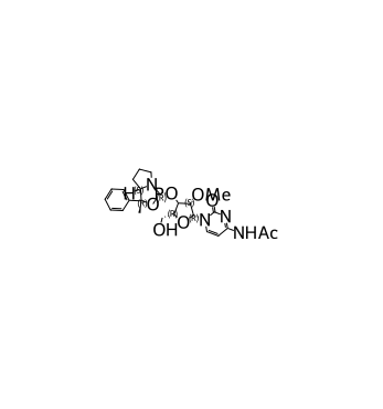 CO[C@H]1C(O[P@@]2O[C@](C)(c3ccccc3)[C@@H]3CCCN32)[C@@H](CO)O[C@H]1n1ccc(NC(C)=O)nc1=O